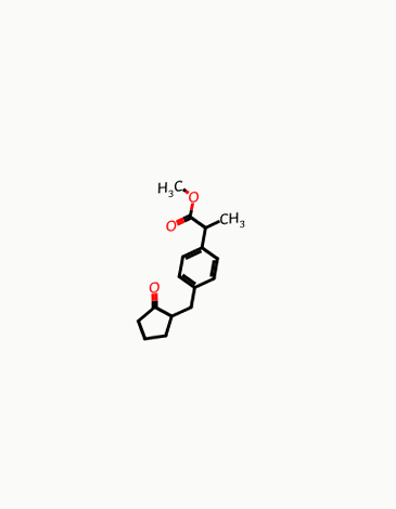 COC(=O)C(C)c1ccc(CC2CCCC2=O)cc1